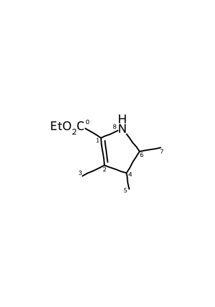 CCOC(=O)C1=C(C)C(C)C(C)N1